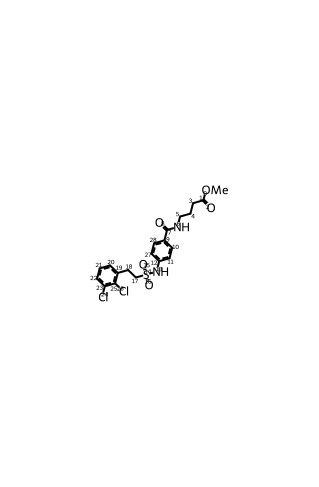 COC(=O)CCCNC(=O)c1ccc(NS(=O)(=O)CCc2cccc(Cl)c2Cl)cc1